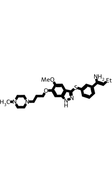 CC/C=C(\N)c1cccc(Sc2n[nH]c3cc(OCCCN4CCN(C)CC4)c(OC)cc23)c1